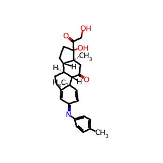 Cc1ccc(/N=C2\C=C[C@@]3(C)C(=C2)CC[C@@H]2[C@@H]3C(=O)C[C@@]3(C)[C@H]2CC[C@]3(O)C(=O)CO)cc1